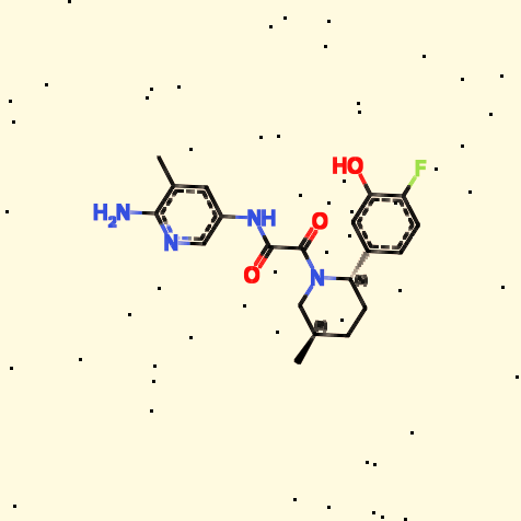 Cc1cc(NC(=O)C(=O)N2C[C@H](C)CC[C@H]2c2ccc(F)c(O)c2)cnc1N